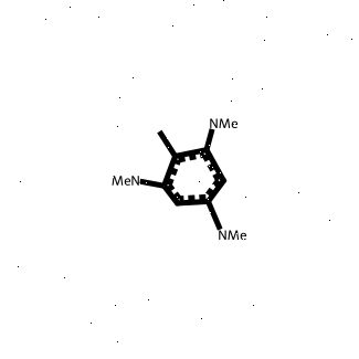 CNc1cc(NC)c(C)c(NC)c1